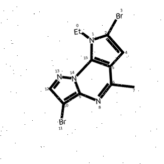 CCn1c(Br)cc2c(C)nc3c(Br)cnn3c21